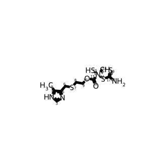 Cc1[nH]cnc1CSCCOC(=O)[N+](C)(S)SC(N)=S